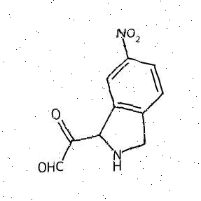 O=CC(=O)C1NCc2ccc([N+](=O)[O-])cc21